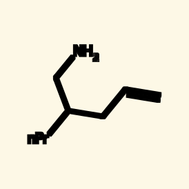 C=CCC(CN)CCC